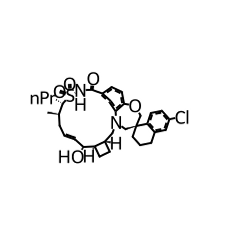 CCC[C@H]1[C@H](C)C/C=C/[C@H](O)[C@@H]2CC[C@H]2CN2C[C@@]3(CCCc4cc(Cl)ccc43)COc3ccc(cc32)C(=O)NS1(=O)=O